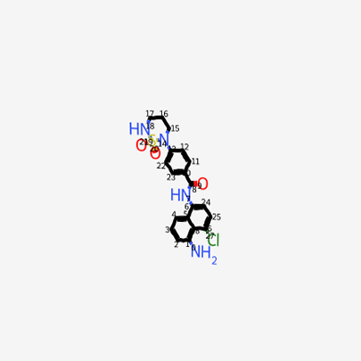 Nc1cccc2c(NC(=O)c3ccc(N4CCCNS4(=O)=O)cc3)ccc(Cl)c12